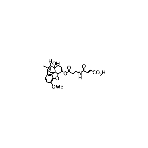 COc1ccc2c3c1OC1C(OC(=O)CCNC(=O)/C=C/C(=O)O)=CC[C@@]4(O)[C@@H](C2)N(C)CCC314